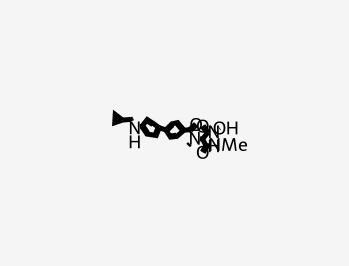 CNC(=O)C(C(=O)NO)N(C)C(=O)c1ccc(-c2ccc(NCC3CC3)cc2)cc1